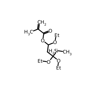 C=C(C)C(=O)OC(CC(OCC)(OCC)[SiH2]C)OCC